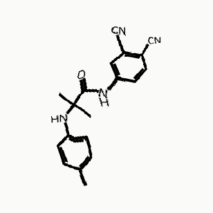 Cc1ccc(NC(C)(C)C(=O)Nc2ccc(C#N)c(C#N)c2)cc1